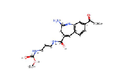 COC(=O)c1ccc2c(c1)N=C(N)CC(C(=O)NCCCNC(=O)OC(C)(C)C)=C2